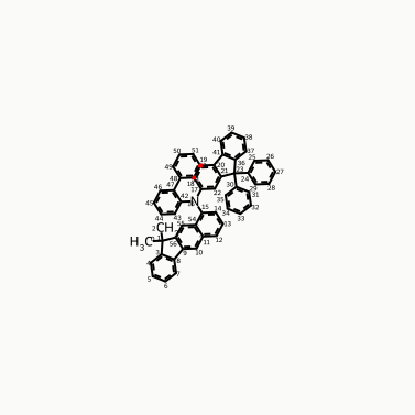 CC1(C)c2ccccc2-c2cc3cccc(N(c4ccc5c(c4)C(c4ccccc4)(c4ccccc4)c4ccccc4-5)c4ccccc4-c4ccccc4)c3cc21